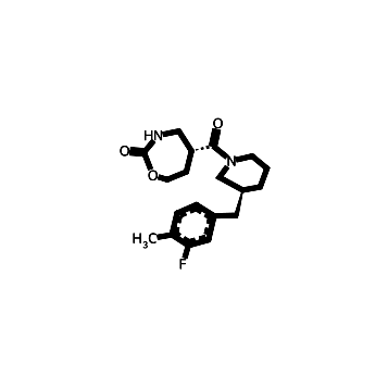 Cc1ccc(C[C@@H]2CCCN(C(=O)[C@@H]3CCOC(=O)NC3)C2)cc1F